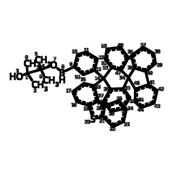 CC(C)(O)C(C)(C)OBc1cccc(C2(c3cccc4sc5ccccc5c34)c3ccccc3C3(c4ccccc4-c4ccccc43)c3ccccc32)c1